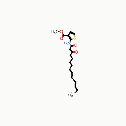 CCCCCCCCCCCC(=O)CC(=O)Nc1sccc1C(=O)OC